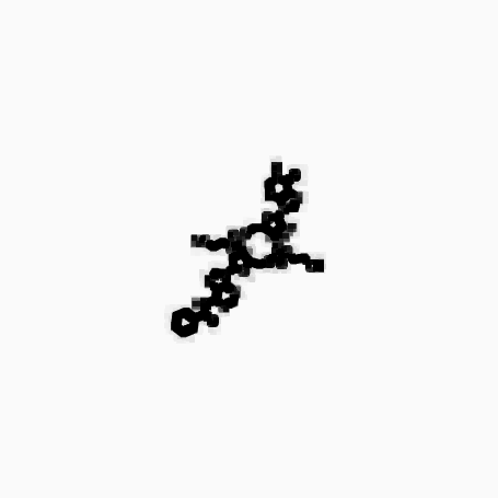 N#CCCOP1(=O)OCC2OC(n3cnc4c(NC(=O)c5ccccc5)ncnc43)C[C@@H]2P(=O)(OCCC#N)OCC2OC(n3cnc4c(=O)[nH]cnc43)[C@H](F)[C@@H]2O1